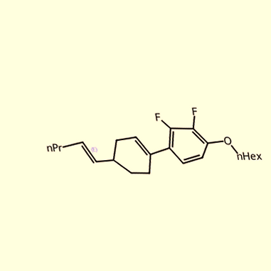 CCC/C=C/C1CC=C(c2ccc(OCCCCCC)c(F)c2F)CC1